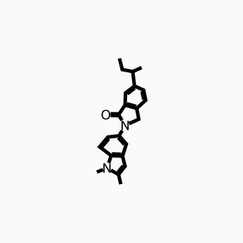 CCC(C)c1ccc2c(c1)C(=O)N(c1ccc3c(c1)cc(C)n3C)C2